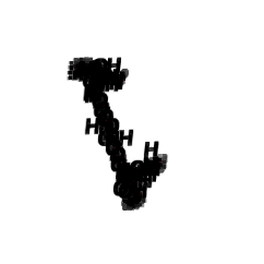 Cc1ccnc(NCCCC(=O)N[C@@H](Cc2cn(CCOCCOCCOCCNC(=O)CCC(=O)NCCOCCOCCOCCn3cc(C[C@H](NC(=O)CCCNc4cc(C)ccn4)C(=O)NC(CC(=O)O)c4ccc(-c5cccc6ccccc56)cc4)nn3)nn2)C(=O)NC(CC(=O)O)c2ccc(-c3cccc4ccccc34)cc2)c1